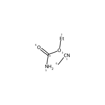 CC#N.CCOC(N)=O